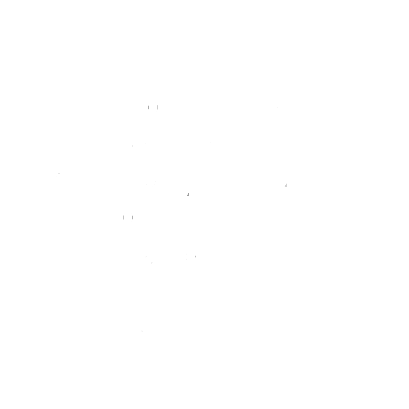 C=CCc1cc(C)c(OC(=O)C(C)C)c(OC(=O)C(C)C)c1